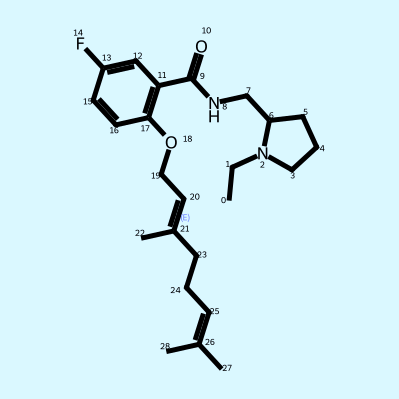 CCN1CCCC1CNC(=O)c1cc(F)ccc1OC/C=C(\C)CCC=C(C)C